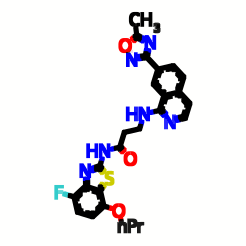 CCCOc1ccc(F)c2nc(NC(=O)CCNc3nccc4ccc(-c5noc(C)n5)cc34)sc12